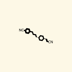 N#C/C=C/[C@H]1CC[C@H](CCCCc2ccc(C#N)cc2)CC1